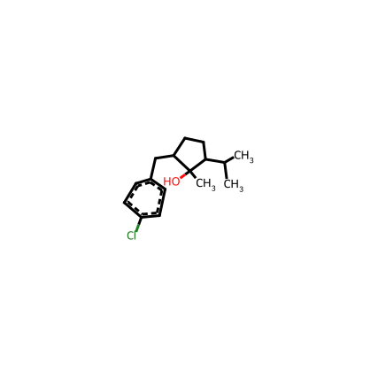 CC(C)C1CCC(Cc2ccc(Cl)cc2)C1(C)O